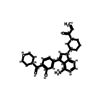 C=CC(=O)N1CCC[C@@H](n2nc(-c3ccc(C(=O)N4CCOCC4)c(Cl)c3)c3c(N)ncnc32)C1